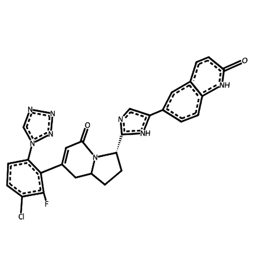 O=C1C=C(c2c(-n3cnnn3)ccc(Cl)c2F)CC2CC[C@@H](c3ncc(-c4ccc5[nH]c(=O)ccc5c4)[nH]3)N12